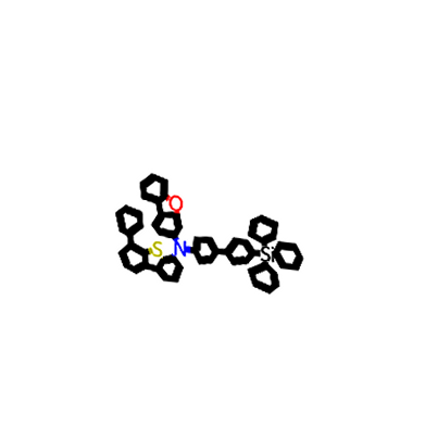 c1ccc(-c2cccc3c2sc2c(N(c4ccc(-c5ccc([Si](c6ccccc6)(c6ccccc6)c6ccccc6)cc5)cc4)c4ccc5c(c4)oc4ccccc45)cccc23)cc1